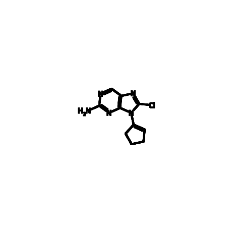 Nc1ncc2nc(Cl)n(C3=CCCC3)c2n1